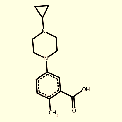 Cc1ccc(N2CCN(C3CC3)CC2)cc1C(=O)O